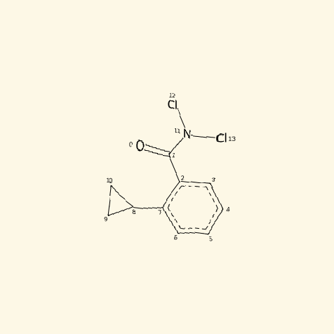 O=C(c1ccccc1C1CC1)N(Cl)Cl